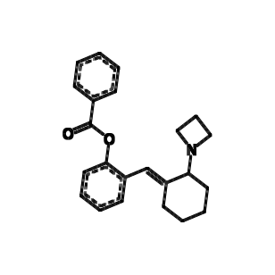 O=C(Oc1ccccc1C=C1CCCCC1N1CCC1)c1ccccc1